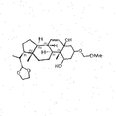 COCOC1CC(O)[C@]2(C)[C@H]3CC[C@]4(C)[C@@H](C(C)C5OCCO5)CC[C@H]4[C@@H]3C=CC2(O)C1